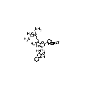 C[N+](CCN)(CCN)CCC[C@H](N)C(=O)N[C@H](CCc1ccccc1)C(=O)Nc1cc2ccccc2[nH]c1=O.Cl.Cl.Cl.[Cl-]